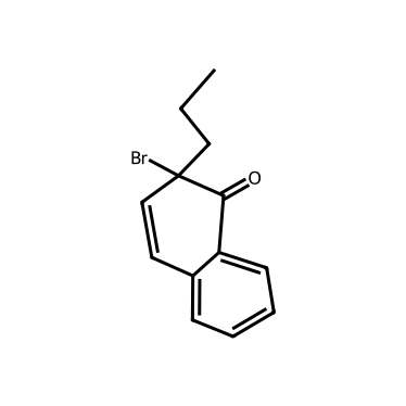 CCCC1(Br)C=Cc2ccccc2C1=O